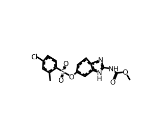 COC(=O)Nc1nc2ccc(OS(=O)(=O)c3ccc(Cl)cc3C)cc2[nH]1